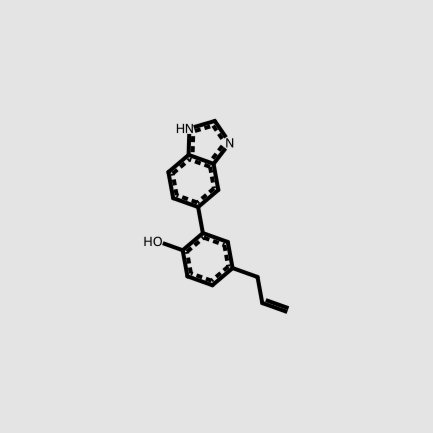 C=CCc1ccc(O)c(-c2ccc3[nH]cnc3c2)c1